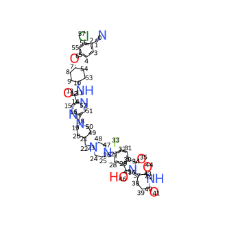 N#Cc1ccc(O[C@H]2CC[C@H](NC(=O)c3cnc(N4CCC(CN5CCN(c6cc7c(cc6F)C(=O)N(C6CCC(=O)NC6=O)C7O)CC5)CC4)cn3)CC2)cc1Cl